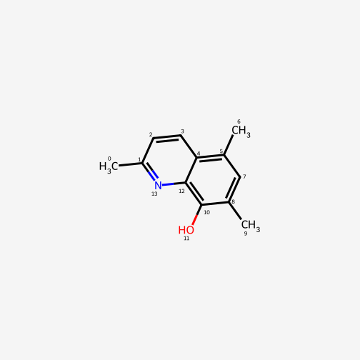 Cc1ccc2c(C)cc(C)c(O)c2n1